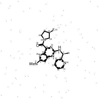 CNc1cc2nc(N[C@@H](C)c3ccccn3)nc(C(=O)N3CC[C@@H](F)C3)c2s1